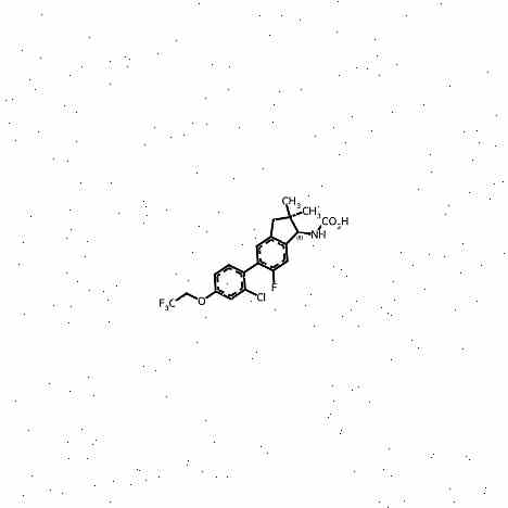 CC1(C)Cc2cc(-c3ccc(OCC(F)(F)F)cc3Cl)c(F)cc2[C@@H]1NC(=O)O